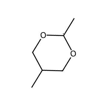 C[C]1OCC(C)CO1